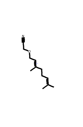 CC(C)=CCC/C(C)=C/COCC#N